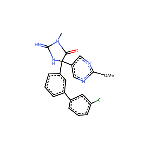 COc1ncc(C2(c3cccc(-c4cccc(Cl)c4)c3)NC(=N)N(C)C2=O)cn1